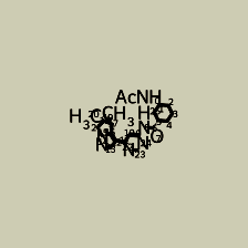 CC(=O)N[C@@H]1CCC[C@H](C(=O)Nc2cc(-c3cnn4c3CC(C)(C)C4)ncn2)C1